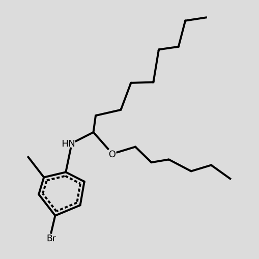 CCCCCCCCC(Nc1ccc(Br)cc1C)OCCCCCC